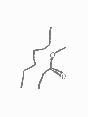 CCC(=O)OC.CCCCCC